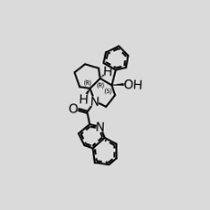 O=C(c1ccc2ccccc2n1)N1CC[C@@](O)(c2ccccc2)[C@@H]2CCCC[C@H]21